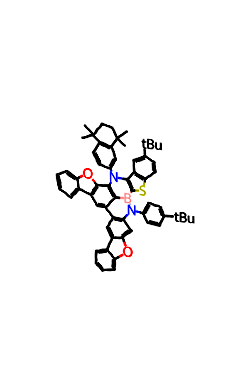 CC(C)(C)c1ccc(N2B3c4sc5ccc(C(C)(C)C)cc5c4N(c4ccc5c(c4)C(C)(C)CCC5(C)C)c4c3c(cc3c4oc4ccccc43)-c3cc4c(cc32)oc2ccccc24)cc1